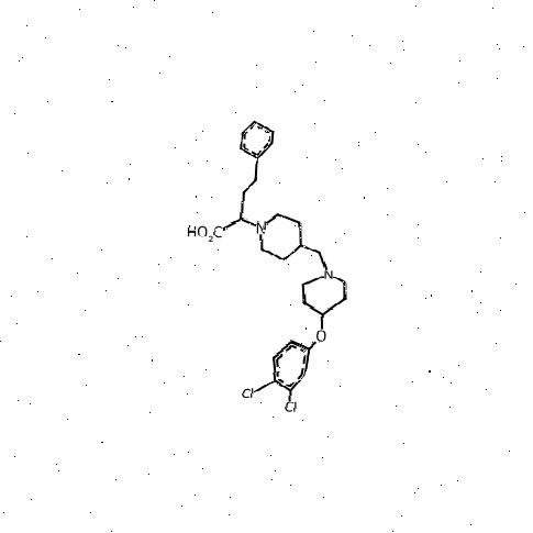 O=C(O)C(CCc1ccccc1)N1CCC(CN2CCC(Oc3ccc(Cl)c(Cl)c3)CC2)CC1